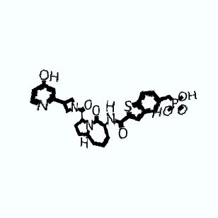 O=C(N[C@H]1CCC[C@H]2CC[C@@H](C(=O)N3CC(c4cc(O)ccn4)C3)N2C1=O)c1cc2cc(CP(=O)(O)O)ccc2s1